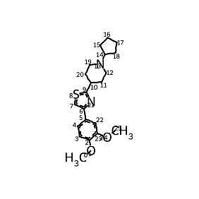 COc1ccc(-c2csc(C3CCN(C4CCCC4)CC3)n2)cc1OC